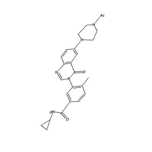 CC(=O)N1CCN(c2ccc3ncn(-c4cc(C(=O)NC5CC5)ccc4C)c(=O)c3c2)CC1